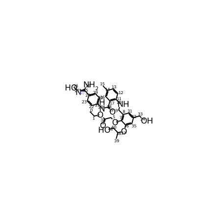 CCOC(=O)COc1c(CNc2ccc(C)cc2C(=O)Nc2ccc(/C(N)=N/O)cc2)cc(CO)cc1OC(C)CO